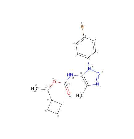 Cc1nnn(-c2ccc(Br)cc2)c1NC(=O)OC(C)C1CCC1